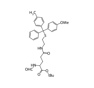 COc1ccc(C(SCCNC(=O)CCC(NC=O)C(=O)OC(C)(C)C)(c2ccccc2)c2ccc(C)cc2)cc1